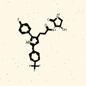 O=C(CCc1cc(-c2ccc(C(F)(F)F)cc2)[nH]c1-c1ccc(F)cc1)N[C@@H]1C(=O)NC[C@H]1O